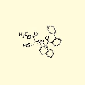 COC(=O)[C@@H](CS)NC1=CCc2ccccc2N1C(=O)c1ccccc1-c1ccccc1